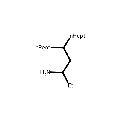 CCCCCCCC(CCCCC)CC(N)CC